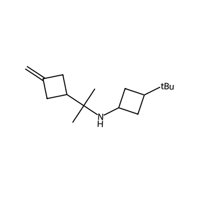 C=C1CC(C(C)(C)NC2CC(C(C)(C)C)C2)C1